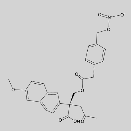 COc1ccc2cc([C@](COC(=O)Cc3ccc(CO[N+](=O)[O-])cc3)(CC(C)=O)C(=O)O)ccc2c1